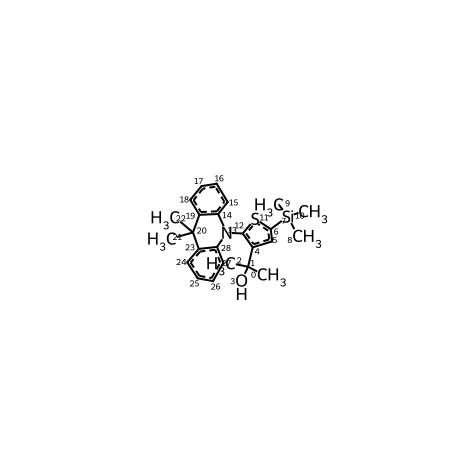 CC(C)(O)c1cc([Si](C)(C)C)sc1N1c2ccccc2C(C)(C)c2ccccc21